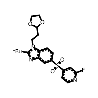 CC(C)(C)c1nc2cc(S(=O)(=O)c3ccnc(F)c3)ccc2n1CCC1OCCO1